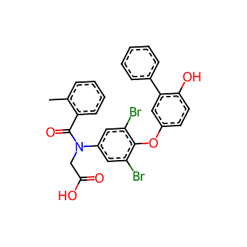 Cc1ccccc1C(=O)N(CC(=O)O)c1cc(Br)c(Oc2ccc(O)c(-c3ccccc3)c2)c(Br)c1